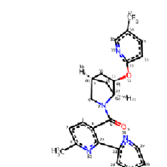 Cc1ccc(C(=O)N2C[C@H]3C[C@@H](Oc4ccc(C(F)(F)F)cn4)[C@@H]2C3)c(-c2ccccn2)n1